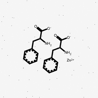 NC(Cc1ccccc1)C(=O)[O-].NC(Cc1ccccc1)C(=O)[O-].[Zn+2]